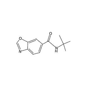 CC(C)(C)NC(=O)c1ccc2ncoc2c1